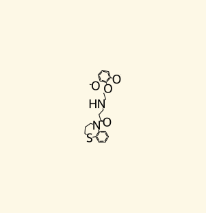 COc1cccc(OC)c1OCCNCCC(=O)N1CCCSc2ccccc21